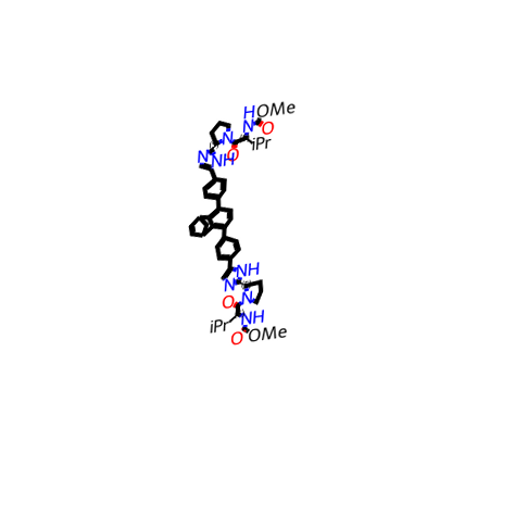 COC(=O)N[C@H](C(=O)N1CCC[C@H]1c1ncc(-c2ccc(-c3ccc(-c4ccc(-c5cnc([C@@H]6CCCN6C(=O)[C@@H](NC(=O)OC)C(C)C)[nH]5)cc4)c4c3C3C=CC4C3)cc2)[nH]1)C(C)C